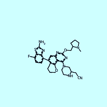 CN1CCCC1COc1nc(N2CCNC(CC#N)C2)c2c3c(c(-c4ccc(F)c5sc(N)nc45)cc2n1)CCCO3